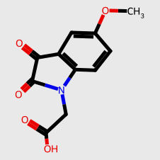 COc1ccc2c(c1)C(=O)C(=O)N2CC(=O)O